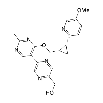 COc1ccc([C@@H]2CC2COc2nc(C)ncc2-c2cnc(CO)cn2)nc1